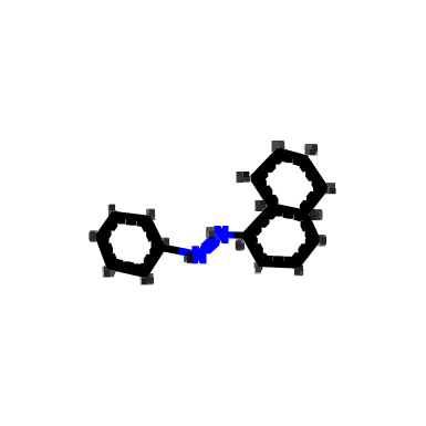 c1ccc(N=Nc2cccc3ccccc23)cc1